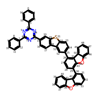 c1ccc(-c2nc(-c3ccccc3)nc(-c3ccc4c(c3)sc3ccc(-c5ccc(-c6cccc7oc8ccccc8c67)c6oc7ccccc7c56)cc34)n2)cc1